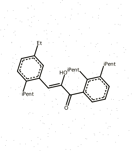 CCCC(C)c1ccc(CC)cc1C=C(O)C(=O)c1cccc(C(C)CCC)c1C(C)CCC